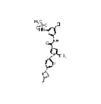 Cc1cc(C(=O)Nc2cc(Cl)cc(NS(C)(=O)=O)c2)cn1-c1ccc(N2CC(F)C2)cn1